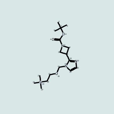 CC(C)(C)OC(=O)N1CC(c2nccn2COCC[Si](C)(C)C)C1